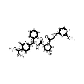 Cc1nccc(NCC(=O)N2C[C@H](F)C[C@H]2C(=O)N[C@@H](c2ccccc2)c2ccc(C(C)N)c(F)n2)n1